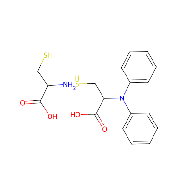 NC(CS)C(=O)O.O=C(O)C(CS)N(c1ccccc1)c1ccccc1